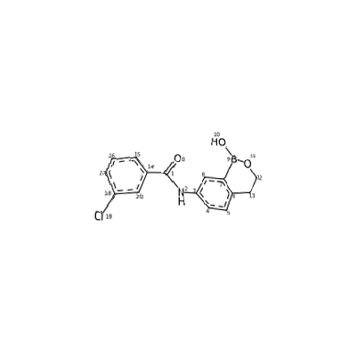 O=C(Nc1ccc2c(c1)B(O)OCC2)c1cccc(Cl)c1